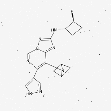 F[C@H]1CC[C@@H]1Nc1nc2c(N3CC4CC3C4)c(-c3cn[nH]c3)ncn2n1